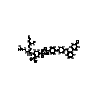 C=C/C=C(\C=C)SCC(CCNC)Nc1ccc(S(=O)(=O)NC(=O)c2ccc(N3CCN(Cc4ccccc4-c4ccc(Cl)cc4)CC3)cc2)cc1[N+](=O)[O-]